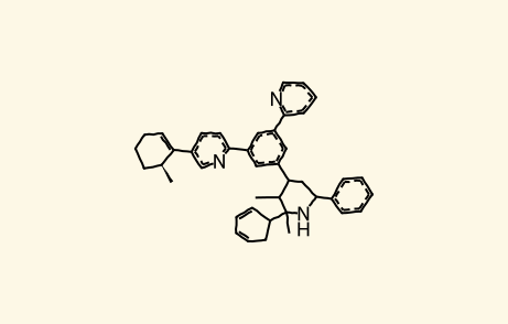 CC1C(c2cc(-c3ccccn3)cc(-c3ccc(C4=CCCC[C@@H]4C)cn3)c2)CC(c2ccccc2)NC1(C)C1C=CC=CC1